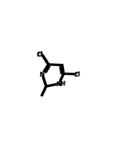 CC1N=C(Cl)C=C(Cl)N1